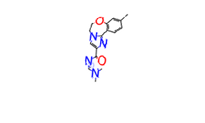 Cc1ccc2c(c1)OCCn1cc(C(=O)/N=C\N(C)C)nc1-2